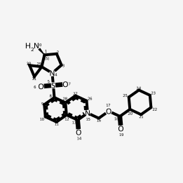 N[C@H]1CCN(S(=O)(=O)c2cccc3c(=O)n(COC(=O)C4CCCCC4)ccc23)C12CC2